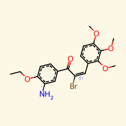 CCOc1ccc(C(=O)/C(Br)=C\c2ccc(OC)c(OC)c2OC)cc1N